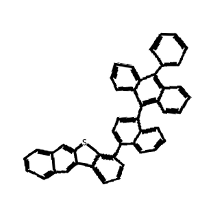 c1ccc(-c2c3ccccc3c(-c3ccc(-c4cccc5c4sc4cc6ccccc6cc45)c4ccccc34)c3ccccc23)cc1